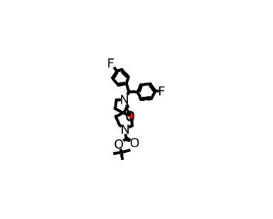 CC(C)(C)OC(=O)N1CCC2(CCN(C(c3ccc(F)cc3)c3ccc(F)cc3)C2)C2(C1)OCCO2